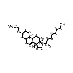 COCO[C@H]1CC[C@@]2(C)C(=CC=C3C2CC[C@]2(C)[C@@H]([C@H](C)CCCCCCO)CC[C@@H]32)C1